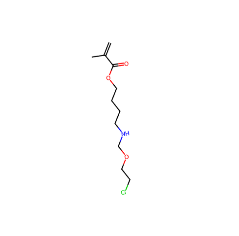 C=C(C)C(=O)OCCCCNCOCCCl